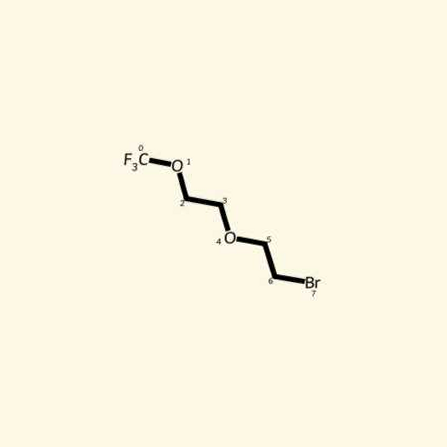 FC(F)(F)OCCOCCBr